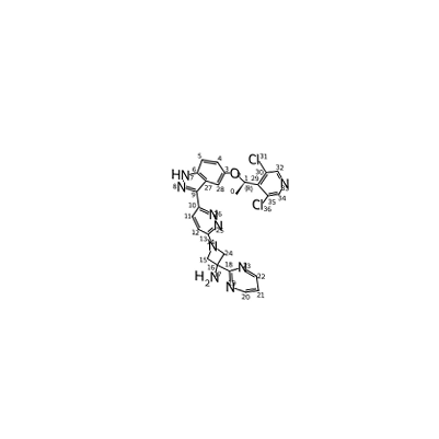 C[C@@H](Oc1ccc2[nH]nc(-c3ccc(N4CC(N)(c5ncccn5)C4)nn3)c2c1)c1c(Cl)cncc1Cl